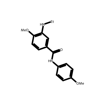 CCNc1cc(C(=O)Nc2ccc(OC)cc2)ccc1OC